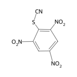 N#CSc1c([N+](=O)[O-])cc([N+](=O)[O-])cc1[N+](=O)[O-]